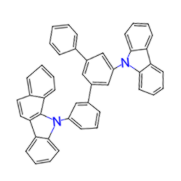 c1ccc(-c2cc(-c3cccc(-n4c5ccccc5c5ccc6ccccc6c54)c3)cc(-n3c4ccccc4c4ccccc43)c2)cc1